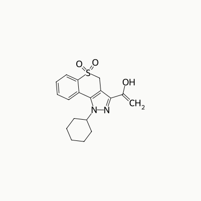 C=C(O)c1nn(C2CCCCC2)c2c1CS(=O)(=O)c1ccccc1-2